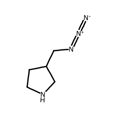 [N-]=[N+]=NCC1CCNC1